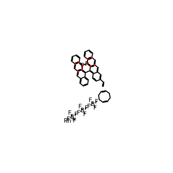 C1=C\CC/C=C\CC/1.C=Cc1ccc2c(-c3c(P(c4ccccc4)c4ccccc4)ccc4ccccc34)c(P(c3ccccc3)c3ccccc3)ccc2c1.F[B-](F)(F)F.F[B-](F)(F)F.F[B-](F)(F)F.[Rh+3]